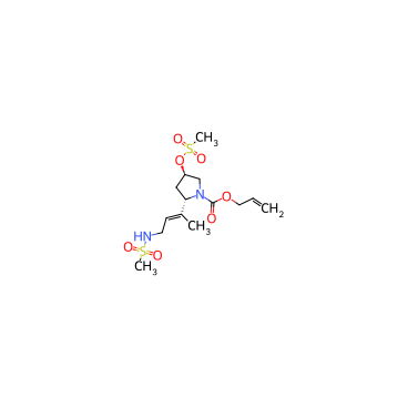 C=CCOC(=O)N1C[C@H](OS(C)(=O)=O)C[C@H]1/C(C)=C/CNS(C)(=O)=O